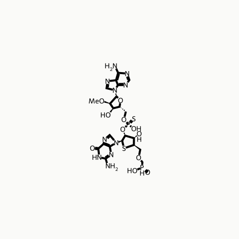 CO[C@@H]1[C@H](O)[C@@H](COP(O)(=S)O[C@@H]2[C@H](O)[C@@H](COC[PH](=O)O)S[C@H]2n2cnc3c(=O)[nH]c(N)nc32)O[C@H]1n1cnc2c(N)ncnc21